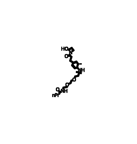 CCCC(=O)NCCOCCOCCC(C)(C)NC1C=CC(CCC(=O)N2CCC2O)=C[C@H]1C